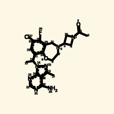 CC(=O)N1CC(N2CCOc3c(C(C)n4nc(C)c5c(N)ncnc54)cc(Cl)c(F)c3C2)C1